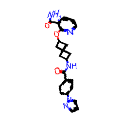 NC(=O)c1cccnc1OC1CC2(CC(NC(=O)c3ccc(-n4cccn4)cc3)C2)C1